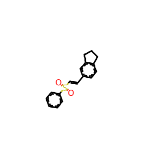 O=S(=O)(C=Cc1ccc2c(c1)CCC2)c1ccccc1